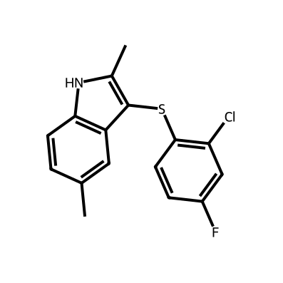 Cc1ccc2[nH]c(C)c(Sc3ccc(F)cc3Cl)c2c1